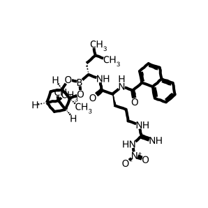 CC(C)C[C@H](NC(=O)[C@H](CCCNC(=N)N[N+](=O)[O-])NC(=O)c1cccc2ccccc12)B1O[C@@H]2C[C@@H]3C[C@@H](C3(C)C)[C@]2(C)O1